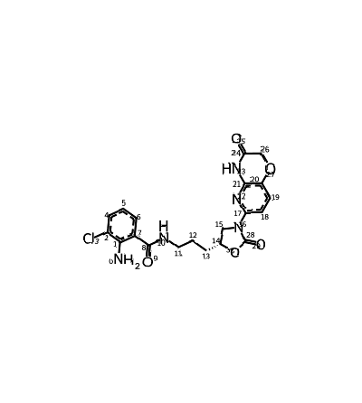 Nc1c(Cl)cccc1C(=O)NCCC[C@@H]1CN(c2ccc3c(n2)NC(=O)CO3)C(=O)O1